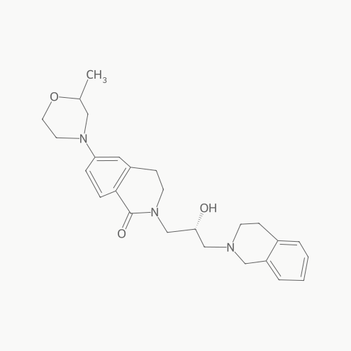 CC1CN(c2ccc3c(c2)CCN(C[C@H](O)CN2CCc4ccccc4C2)C3=O)CCO1